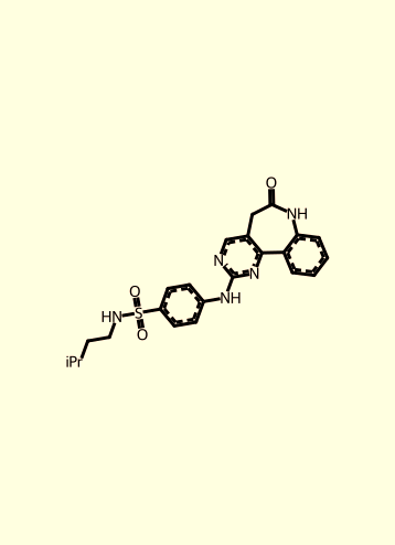 CC(C)CCNS(=O)(=O)c1ccc(Nc2ncc3c(n2)-c2ccccc2NC(=O)C3)cc1